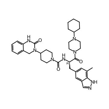 Cc1cc(C[C@@H](NC(=O)N2CCC(N3Cc4ccccc4NC3=O)CC2)C(=O)N2CCN(C3CCCCC3)CC2)cc2cn[nH]c12